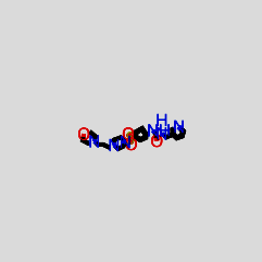 O=C(NCc1cccnc1)Nc1ccc(S(=O)(=O)N2CCN(CCCN3CCOCC3)CC2)cc1